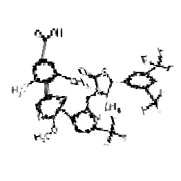 COc1ncc(-c2c(C)cc(C(=O)O)cc2C)cc1-c1ccc(C(F)(F)F)nc1CN1C(=O)S[C@H](c2cc(C(F)(F)F)cc(C(F)(F)F)c2)[C@@H]1C